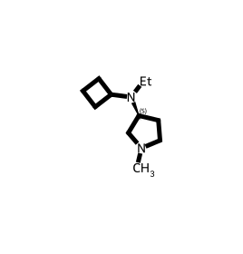 CCN(C1CCC1)[C@H]1CCN(C)C1